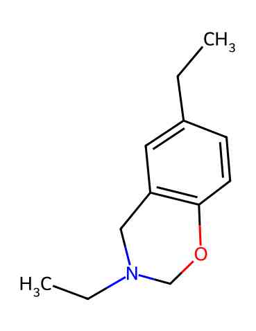 CCc1ccc2c(c1)CN(CC)CO2